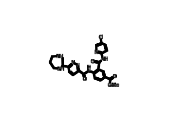 COC(=O)c1ccc(NC(=O)c2ccc(C3CNCCCN3)nn2)c(C(=O)Nc2ccc(Cl)cn2)c1